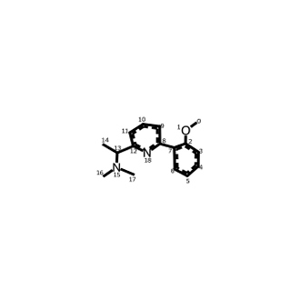 COc1ccccc1-c1cccc(C(C)N(C)C)n1